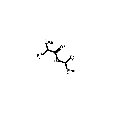 CCCC(C)C(CC)OC(=O)C(OC)C(F)(F)F